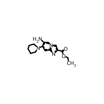 CCOC(=O)c1cn2cc(N)c(N3CCCCC3)cc2n1